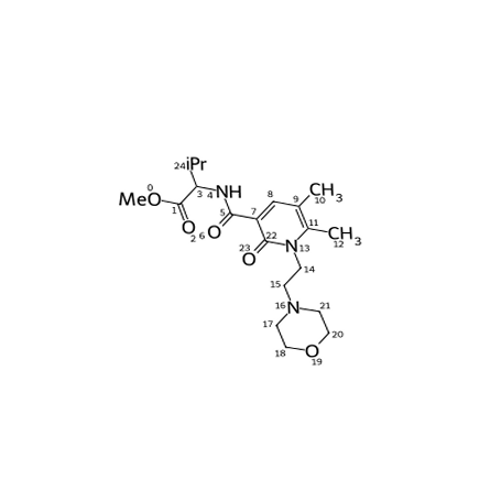 COC(=O)C(NC(=O)c1cc(C)c(C)n(CCN2CCOCC2)c1=O)C(C)C